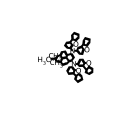 CC(C)(C)c1cc2ccc3c(N(c4ccc5oc6ccccc6c5c4)c4cccc5c4oc4ccccc45)cc(N(c4ccc5oc6ccccc6c5c4)c4cccc5c4oc4ccccc45)c4ccc(c1)c2c34